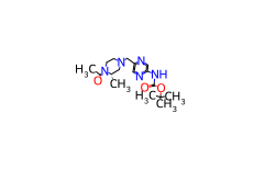 CC(=O)N1CCN(Cc2cnc(NC(=O)OC(C)(C)C)cn2)C[C@@H]1C